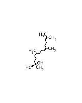 C#CC(C)(O)CCCC(C)CCC=C(C)CCC=C(C)C